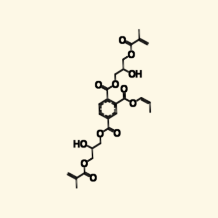 C=C(C)C(=O)OCC(O)COC(=O)c1ccc(C(=O)OCC(O)COC(=O)C(=C)C)c(C(=O)O/C=C\C)c1